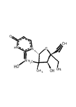 C#C[C@]1(CO)O[C@@H](n2ccc(=O)[nH]/c2=N\O)C(C)(C)[C@@H]1O